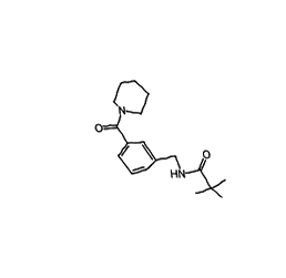 CC(C)(C)C(=O)NCc1cccc(C(=O)N2CCCCC2)c1